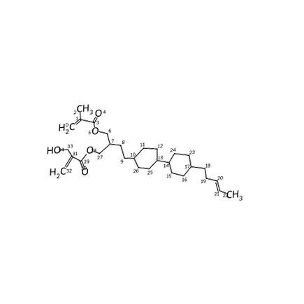 C=C(C)C(=O)OCC(CCC1CCC(C2CCC(CC/C=C/C)CC2)CC1)COC(=O)C(=C)CO